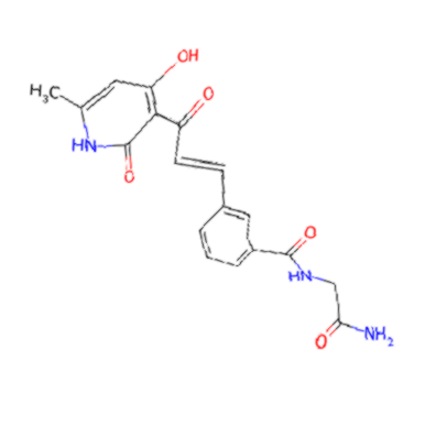 Cc1cc(O)c(C(=O)C=Cc2cccc(C(=O)NCC(N)=O)c2)c(=O)[nH]1